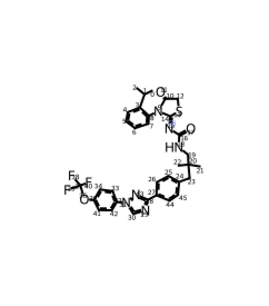 CC(C)c1ccccc1N1C(=O)CS/C1=N\C(=O)NCC(C)(C)Cc1ccc(-c2ncn(-c3ccc(OC(F)(F)F)cc3)n2)cc1